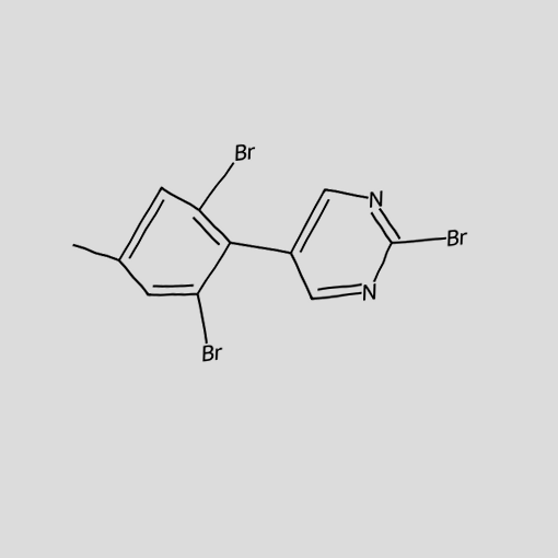 Cc1cc(Br)c(-c2cnc(Br)nc2)c(Br)c1